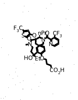 CCC[C@H]1N(C(=O)c2ncccc2C(F)(F)F)CCC[C@@]1(Oc1csc(C(F)(F)F)c1)C(=O)N(C)CCC(O)(CC)c1ccccc1OCCCC(=O)O